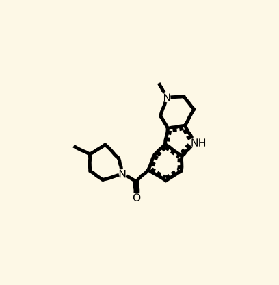 CC1CCN(C(=O)c2ccc3[nH]c4c(c3c2)CN(C)CC4)CC1